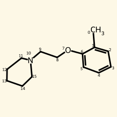 Cc1ccccc1OCCN1CCCCC1